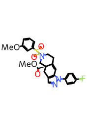 COC(=O)[C@]12Cc3cnn(-c4ccc(F)cc4)c3C=C1CCN(S(=O)(=O)c1cccc(OC)c1)C2